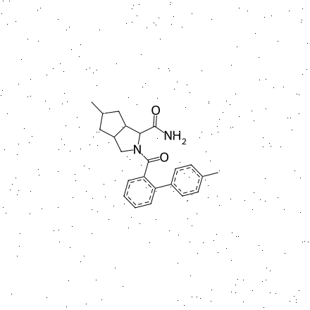 Cc1ccc(-c2ccccc2C(=O)N2CC3CC(C)CC3C2C(N)=O)cc1